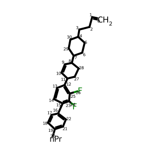 C=CCCC1CCC(C2C=CC(c3ccc(-c4ccc(CCC)cc4)c(F)c3F)CC2)CC1